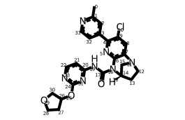 Cc1cc(-c2nc3c(cc2Cl)N2CC[C@@H](C2)N3C(=O)Nc2ccnc(OC3CCOC3)n2)ccn1